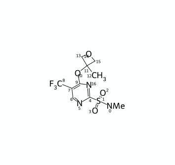 CNS(=O)(=O)c1ncc(C(F)(F)F)c(OC2(C)COC2)n1